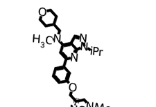 CNC[C@@H](COc1cccc(-c2cc(N(C)CC3CCOCC3)c3cnn(C(C)C)c3n2)c1)N=O